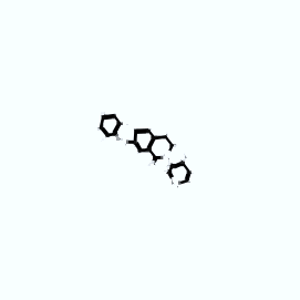 Cc1ccncc1N1CCc2ccc(Nc3ccccc3)cc2C1=O